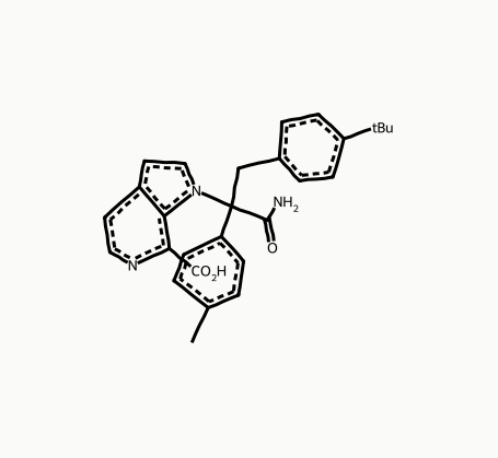 Cc1ccc(C(Cc2ccc(C(C)(C)C)cc2)(C(N)=O)n2ccc3ccnc(C(=O)O)c32)cc1